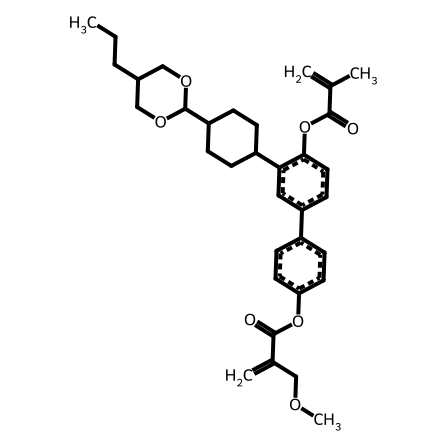 C=C(C)C(=O)Oc1ccc(-c2ccc(OC(=O)C(=C)COC)cc2)cc1C1CCC(C2OCC(CCC)CO2)CC1